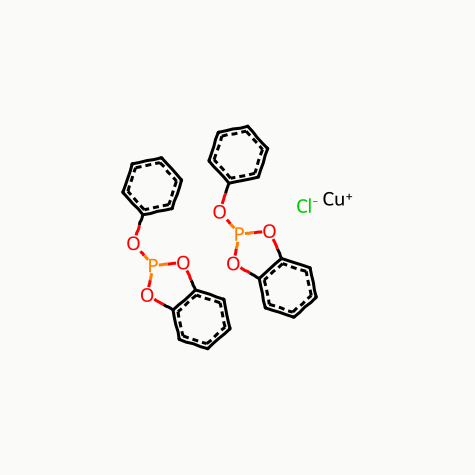 [Cl-].[Cu+].c1ccc(OP2Oc3ccccc3O2)cc1.c1ccc(OP2Oc3ccccc3O2)cc1